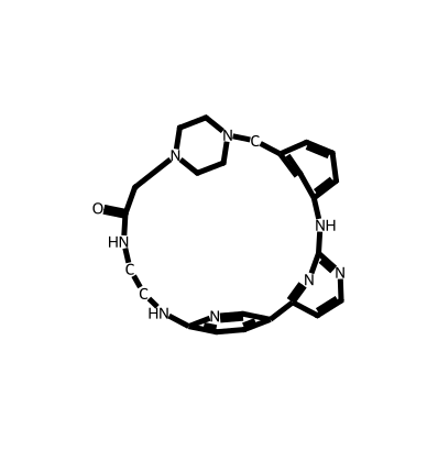 O=C1CN2CCN(CC2)Cc2cccc(c2)Nc2nccc(n2)-c2ccc(nc2)NCCN1